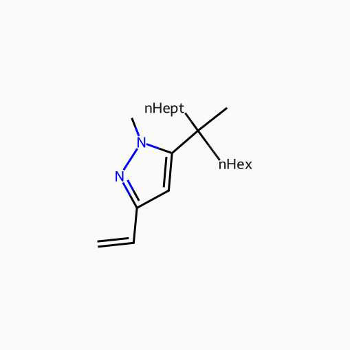 C=Cc1cc(C(C)(CCCCCC)CCCCCCC)n(C)n1